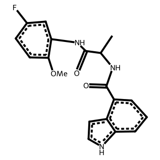 COc1ccc(F)cc1NC(=O)C(C)NC(=O)c1cccc2[nH]ccc12